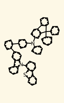 c1ccc(N(c2ccc(-c3ccccc3-c3ccc4c(c3)c3ccccc3n4-c3cccc4c3sc3ccccc34)cc2)c2ccc3c(c2)C(c2ccccc2)(c2ccccc2)c2ccccc2-3)cc1